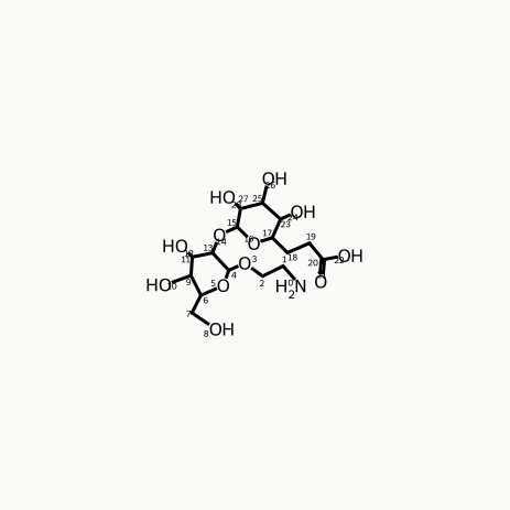 NCCOC1OC(CO)C(O)C(O)C1OC1OC(CCC(=O)O)C(O)C(O)C1O